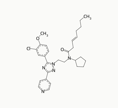 CCCCC=CCC(=O)N(CCn1nc(-c2ccncc2)nc1-c1ccc(OC)c(Cl)c1)C1CCCC1